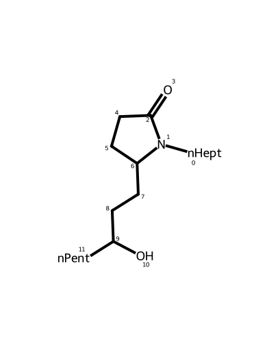 CCCCCCCN1C(=O)CCC1CCC(O)CCCCC